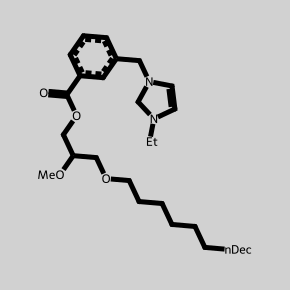 CCCCCCCCCCCCCCCCOCC(COC(=O)c1cccc(CN2C=CN(CC)C2)c1)OC